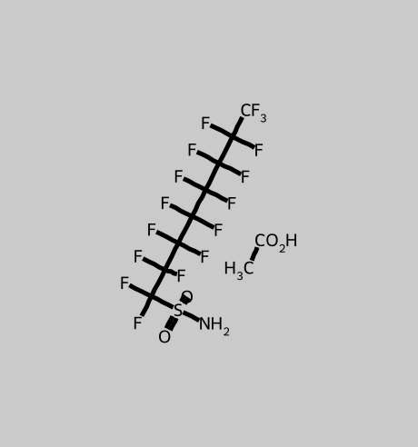 CC(=O)O.NS(=O)(=O)C(F)(F)C(F)(F)C(F)(F)C(F)(F)C(F)(F)C(F)(F)C(F)(F)C(F)(F)F